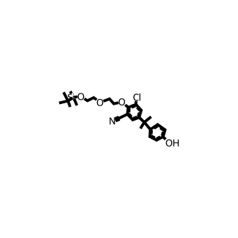 CC(C)(c1ccc(O)cc1)c1cc(Cl)c(OCCOCCO[Si](C)(C)C(C)(C)C)c(C#N)c1